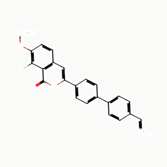 C=Cc1ccc(-c2ccc(-c3cc4ccc(OCCCCC)c(F)c4c(=O)o3)cc2)cc1